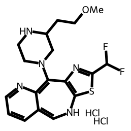 COCCC1CN(C2=c3ncccc3=CNc3sc(C(F)F)nc32)CCN1.Cl.Cl